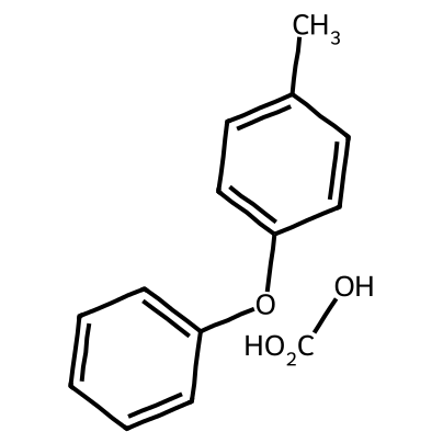 Cc1ccc(Oc2ccccc2)cc1.O=C(O)O